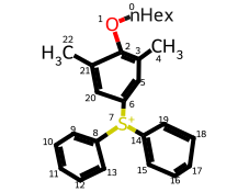 CCCCCCOc1c(C)cc([S+](c2ccccc2)c2ccccc2)cc1C